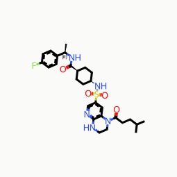 CC(C)CCC(=O)N1CCNc2ncc(S(=O)(=O)N[C@H]3CC[C@H](C(=O)N[C@H](C)c4ccc(F)cc4)CC3)cc21